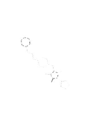 Cn1c(CN2CCN(CCCc3ccccc3)CC2)c(Cl)c(=O)n1C1CCCC1